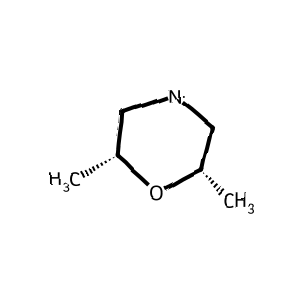 C[C@@H]1C[N]C[C@H](C)O1